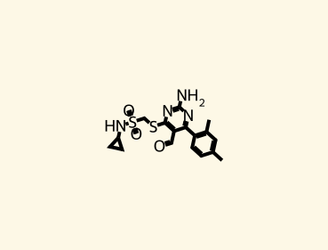 Cc1ccc(-c2nc(N)nc(SCS(=O)(=O)NC3CC3)c2C=O)c(C)c1